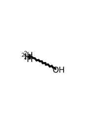 [2H]C([2H])([2H])CCCCCCCCCCCCCCCO